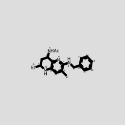 CCC1CC(NC(C)=O)c2nc(NCc3ccccc3)c(C)cc2N1